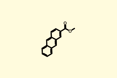 COC(=O)c1ccc2cc3ccccc3cc2c1